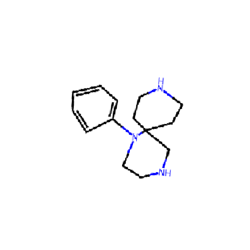 c1ccc(N2CCNCC23CCNCC3)cc1